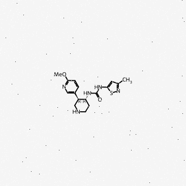 COc1ccc([C@@H]2CNCC[C@H]2NC(=O)Nc2cc(C)ns2)cn1